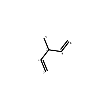 C=CC(C)C=C